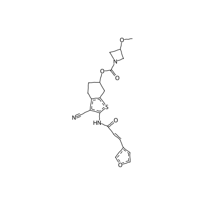 COC1CN(C(=O)OC2CCc3c(sc(NC(=O)C=Cc4ccoc4)c3C#N)C2)C1